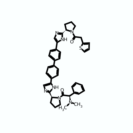 CN(C)[C@@H](C(=O)N1CCC[C@H]1c1ncc(-c2ccc(-c3ccc(-c4cnc([C@@H]5CCCN5C(=O)Cc5cccs5)[nH]4)cc3)cc2)[nH]1)c1ccccc1